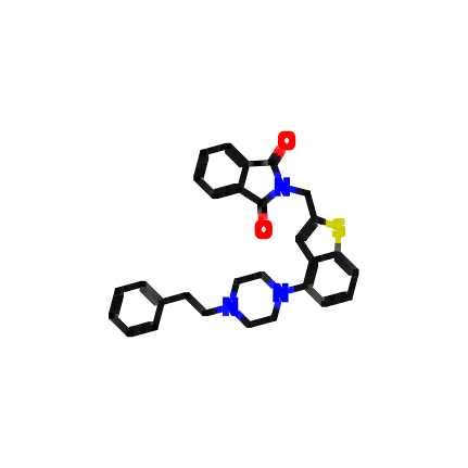 O=C1c2ccccc2C(=O)N1Cc1cc2c(N3CCN(CCc4ccccc4)CC3)cccc2s1